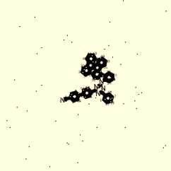 N#Cc1ccc(-c2ccc(-c3nc(-c4ccccc4)nc(-n4c5ccccc5c5c6c(ccc54)C4(c5ccccc5-c5ccccc54)c4ccccc4-6)n3)cc2)cc1